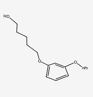 CCCOc1cccc(OCCCCCO)c1